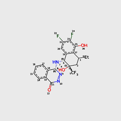 CCC1C[C@@](O)(C(F)(F)F)[C@H](N[C@@H]2N=NC(=O)c3ccccc32)c2cc(F)c(F)c(O)c21